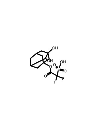 O=C(OC12CC3CC(C1)C(O)C(O)(C3)C2)C(F)(F)S(=O)(=O)O